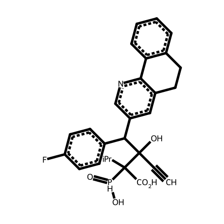 C#CC(O)(C(c1ccc(F)cc1)c1cnc2c(c1)CCc1ccccc1-2)C(C(=O)O)(C(C)C)[PH](=O)O